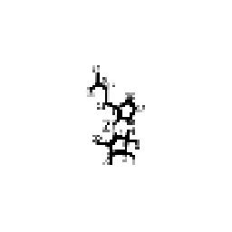 CC1=C(C)C(C)(C)[C]([Zr][C]2=C(CCC(C)C)C=CC2)=C1C